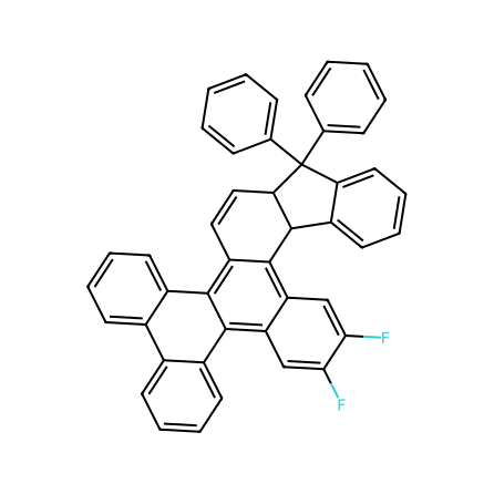 Fc1cc2c3c(c4c5ccccc5c5ccccc5c4c2cc1F)C=CC1C3c2ccccc2C1(c1ccccc1)c1ccccc1